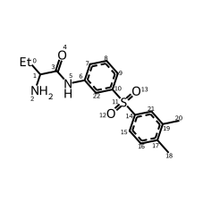 CCC(N)C(=O)Nc1cccc(S(=O)(=O)c2ccc(C)c(C)c2)c1